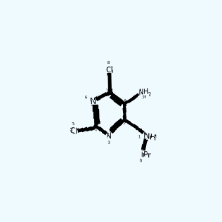 CC(C)Nc1nc(Cl)nc(Cl)c1N